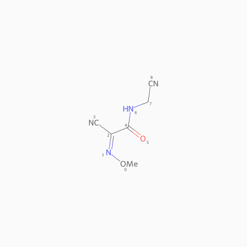 CON=C(C#N)C(=O)NCC#N